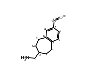 NCC1CCc2ccc(N=O)cc2CC1